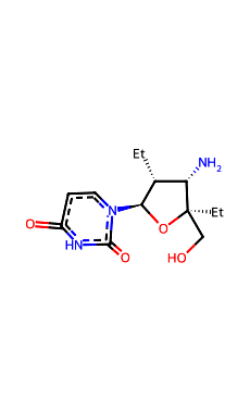 CC[C@H]1[C@H](n2ccc(=O)[nH]c2=O)O[C@](CC)(CO)[C@H]1N